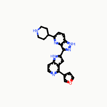 c1cc2[nH]c(-c3n[nH]c4ccc(C5CCNCC5)nc34)cc2c(-c2ccoc2)n1